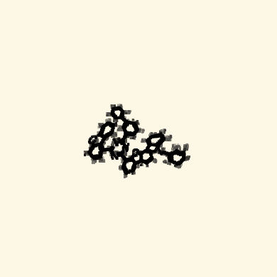 C1=CC2c3cccc(-c4nc(-c5cccc(-c6ccccc6)c5)nc(-c5cccc6oc7ccccc7c56)n4)c3OC2c2c1n(-c1ccccc1)c1ccccc21